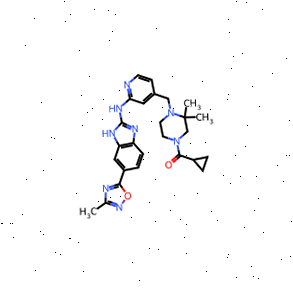 Cc1noc(-c2ccc3nc(Nc4cc(CN5CCN(C(=O)C6CC6)CC5(C)C)ccn4)[nH]c3c2)n1